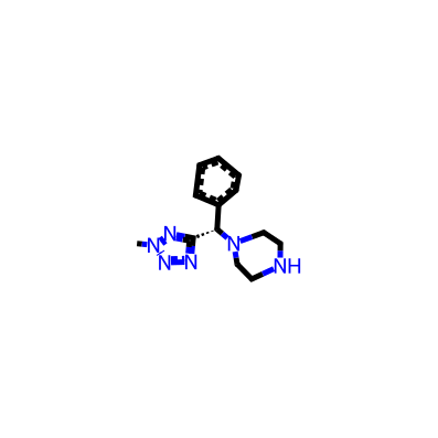 Cn1nnc([C@H](c2ccccc2)N2CCNCC2)n1